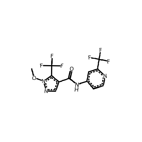 COn1ncc(C(=O)Nc2ccnc(C(F)(F)F)c2)c1C(F)(F)F